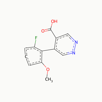 COc1cccc(F)c1-c1cnncc1C(=O)O